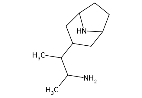 CC(N)C(C)C1CC2CCC(C1)N2